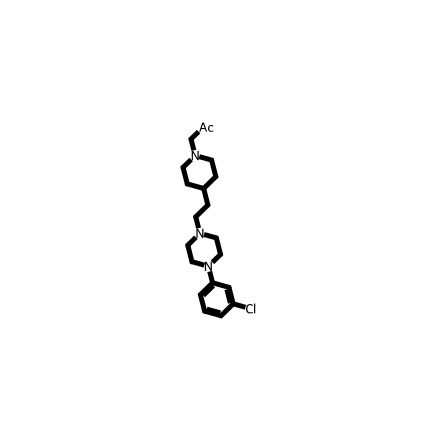 CC(=O)CN1CCC(CCN2CCN(c3cccc(Cl)c3)CC2)CC1